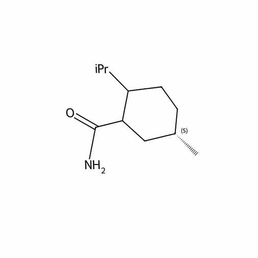 CC(C)C1CC[C@H](C)CC1C(N)=O